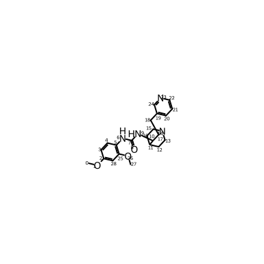 COc1ccc(NC(=O)NC2C3CCN(CC3)C2Cc2cccnc2)c(OC)c1